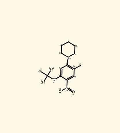 [2H]C([2H])([2H])Oc1cc(N2CCCCC2)c(C)cc1[N+](=O)[O-]